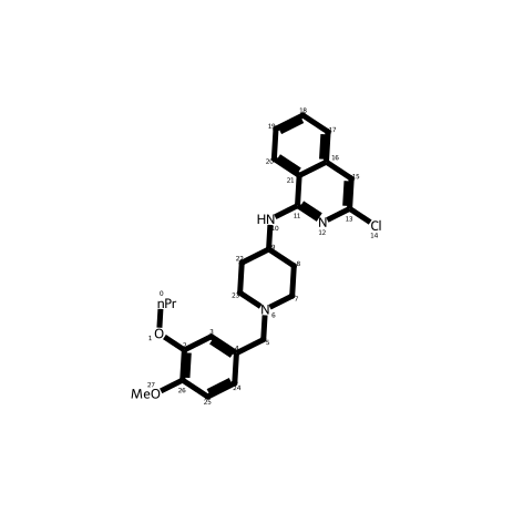 CCCOc1cc(CN2CCC(Nc3nc(Cl)cc4ccccc34)CC2)ccc1OC